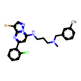 CN(CCCNc1cc(-c2ccccc2Cl)nc2c(Br)cnn12)Cc1cccc(C#N)c1